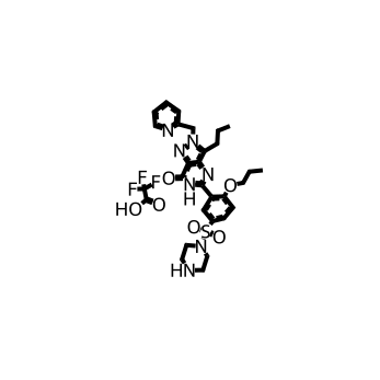 CCCOc1ccc(S(=O)(=O)N2CCNCC2)cc1-c1nc2c(CCC)n(Cc3ccccn3)nc2c(=O)[nH]1.O=C(O)C(F)(F)F